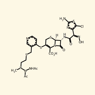 CC(=O)NN(C(C)=O)N(C)CCSCc1cnccc1SC1=C(C(=O)O)N2C(=O)[C@@H](NC(=O)/C(=N\O)c3nc(N)sc3Cl)[C@@H]2SC1